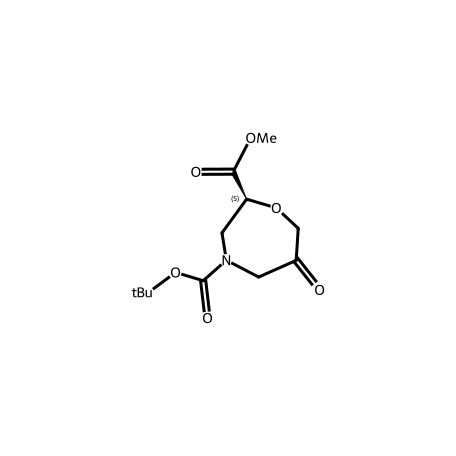 COC(=O)[C@@H]1CN(C(=O)OC(C)(C)C)CC(=O)CO1